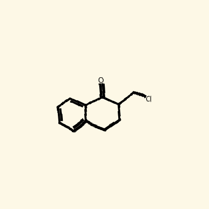 O=C1c2ccccc2CCC1CCl